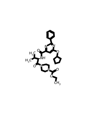 CCOC(=O)N1CCN(C(=O)[C@@H](NC(=O)c2cc(OC3CCCC3)nc(-c3ccccc3)n2)C(C)C)CC1